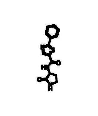 O=C(N[C@H]1CCNC1=O)c1cnc(-c2ccccc2)s1